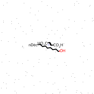 CCCCCCCCCCCCCCCCCCO.O=C(O)/C=C/C(=O)O